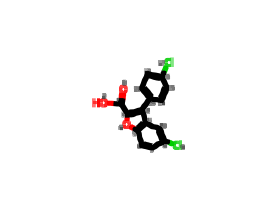 O=C(O)c1oc2ccc(Cl)cc2c1-c1ccc(Cl)cc1